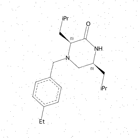 CCc1ccc(CN2C[C@H](CC(C)C)NC(=O)[C@@H]2CC(C)C)cc1